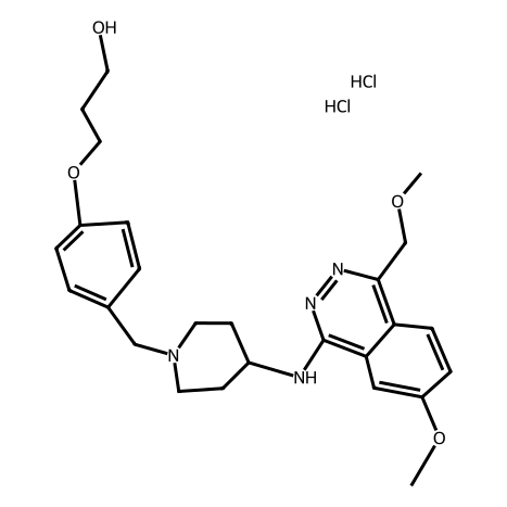 COCc1nnc(NC2CCN(Cc3ccc(OCCCO)cc3)CC2)c2cc(OC)ccc12.Cl.Cl